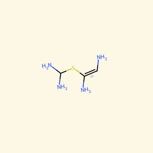 N/C=C(/N)SC(N)N